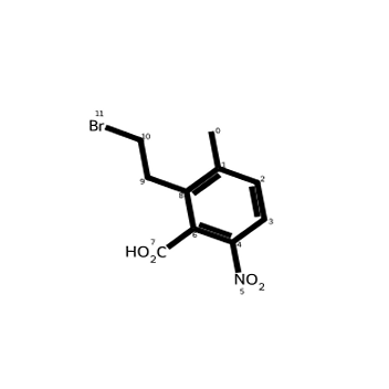 Cc1ccc([N+](=O)[O-])c(C(=O)O)c1CCBr